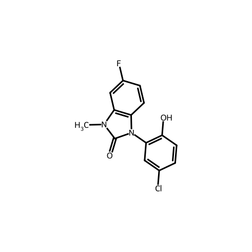 Cn1c(=O)n(-c2cc(Cl)ccc2O)c2ccc(F)cc21